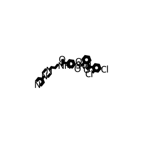 O=C(NCCCN1CCN(c2ccncc2)CC1)c1ccc(S(=O)(=O)Nc2ccccc2C(=O)c2ccc(Cl)cc2Cl)cc1